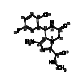 CNC(=O)c1nc(N)c2n1CC(=O)NC2c1cc(F)ccc1Cl